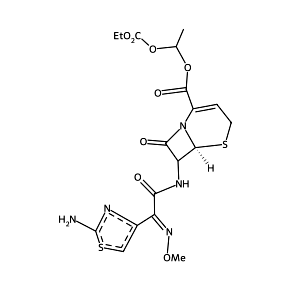 CCOC(=O)OC(C)OC(=O)C1=CCS[C@H]2C(NC(=O)C(=NOC)c3csc(N)n3)C(=O)N12